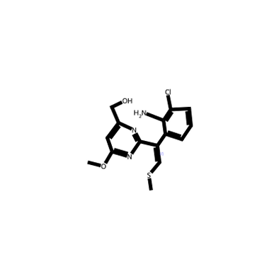 COc1cc(CO)nc(/C(=C\SC)c2cccc(Cl)c2N)n1